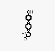 O=C1CCC(N2CCN(c3ccc(O)cc3)CC2)N1